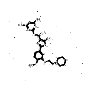 COc1ccc(-c2nc([C@@H](C)Sc3nc(N)cc(N)n3)c(C)s2)cc1OCCN1CCCCC1